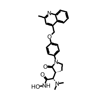 Cc1cc(COc2ccc(N3CC[C@H]([C@@H](C(=O)NO)N(C)C)C3=O)cc2)c2ccccc2n1